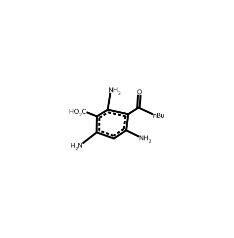 CCCCC(=O)c1c(N)cc(N)c(C(=O)O)c1N